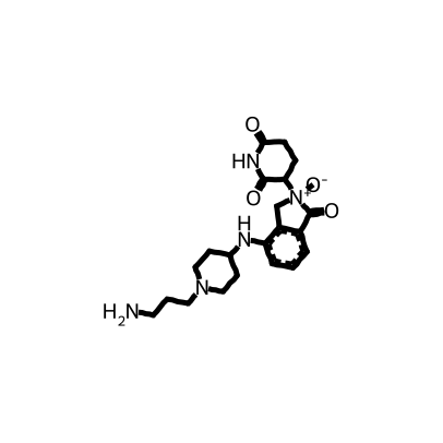 NCCCN1CCC(Nc2cccc3c2C[N+]([O-])(C2CCC(=O)NC2=O)C3=O)CC1